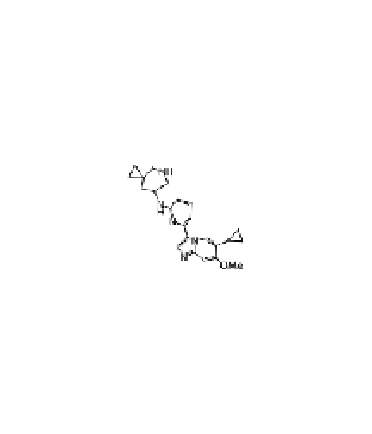 COc1cc2ncc(-c3cccc(NC4CNCC5(CC5)C4)n3)n2cc1C1CC1